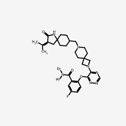 CCN(C(=O)c1cc(F)ccc1Oc1nncnc1N1CC2(CCN(CC3CCC4(CC3)CC(=C(C)C)C(=O)N4)CC2)C1)C(C)C